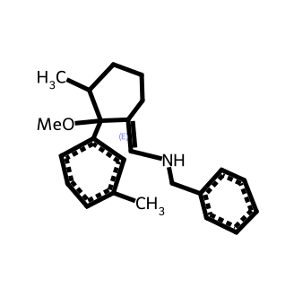 COC1(c2cccc(C)c2)/C(=C/NCc2ccccc2)CCCC1C